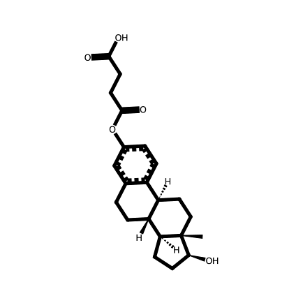 C[C@]12CC[C@@H]3c4ccc(OC(=O)CCC(=O)O)cc4CC[C@H]3[C@@H]1CC[C@@H]2O